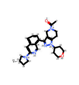 CC(=O)N1CCc2c(c(-c3cccc4cc(N5CC[C@H](C)C5)ncc34)nn2C2CCOCC2)C1